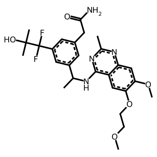 COCCOc1cc2c(NC(C)c3cc(CC(N)=O)cc(C(F)(F)C(C)(C)O)c3)nc(C)nc2cc1OC